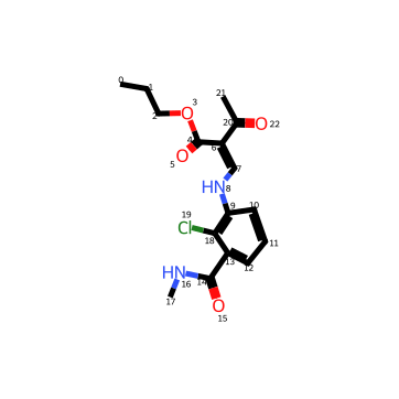 CCCOC(=O)C(=CNc1cccc(C(=O)NC)c1Cl)C(C)=O